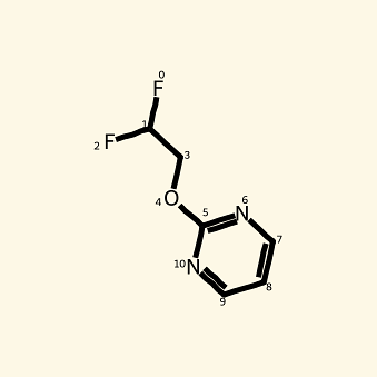 FC(F)COc1ncccn1